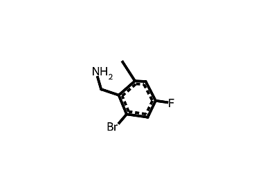 Cc1cc(F)cc(Br)c1CN